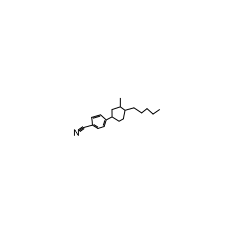 CCCCCC1CCC(c2ccc(C#N)cc2)CC1C